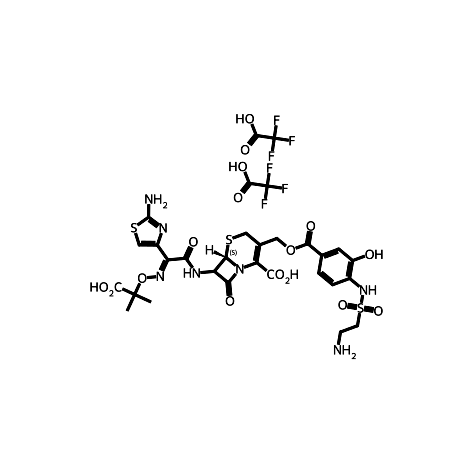 CC(C)(ON=C(C(=O)NC1C(=O)N2C(C(=O)O)=C(COC(=O)c3ccc(NS(=O)(=O)CCN)c(O)c3)CS[C@@H]12)c1csc(N)n1)C(=O)O.O=C(O)C(F)(F)F.O=C(O)C(F)(F)F